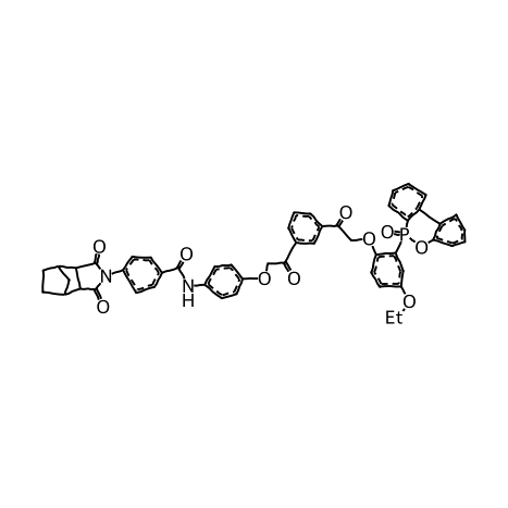 CCOc1ccc(OCC(=O)c2cccc(C(=O)COc3ccc(NC(=O)c4ccc(N5C(=O)C6C7CCC(C7)C6C5=O)cc4)cc3)c2)c(P2(=O)Oc3ccccc3-c3ccccc32)c1